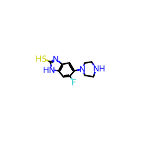 Fc1cc2[nH]c(S)nc2cc1N1CCNCC1